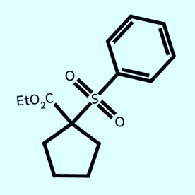 CCOC(=O)C1(S(=O)(=O)c2ccccc2)CCCC1